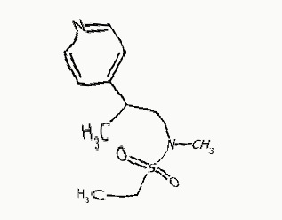 CCS(=O)(=O)N(C)CC(C)c1ccncc1